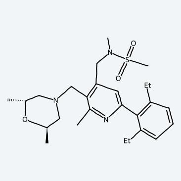 CCc1cccc(CC)c1-c1cc(CN(C)S(C)(=O)=O)c(CN2C[C@@H](C)O[C@H](C)C2)c(C)n1